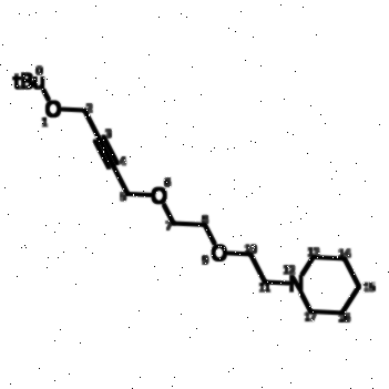 CC(C)(C)OCC#CCOCCOCCN1CCCCC1